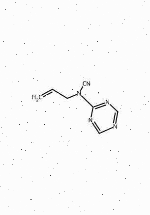 C=CCN(C#N)c1ncncn1